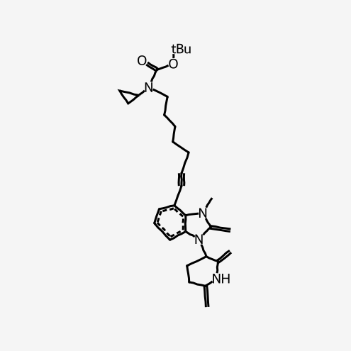 C=C1CCC(N2C(=C)N(C)c3c(C#CCCCCCN(C(=O)OC(C)(C)C)C4CC4)cccc32)C(=C)N1